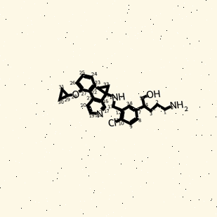 NCCCC(CO)c1ccc(Cl)c(CNC2(c3cnccc3-c3ccccc3OC3CC3)CC2)c1